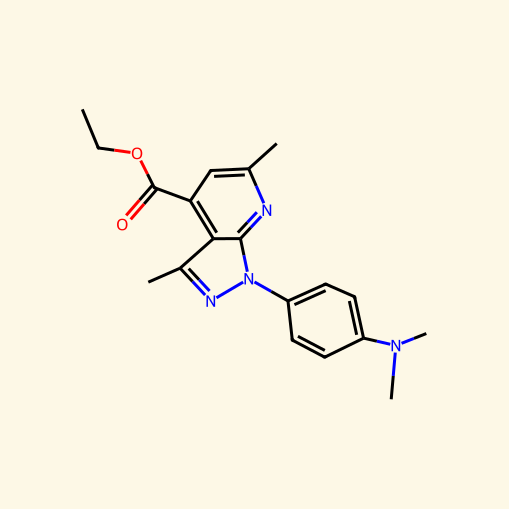 CCOC(=O)c1cc(C)nc2c1c(C)nn2-c1ccc(N(C)C)cc1